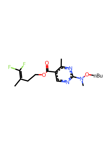 CCCCON(C)c1ncc(C(=O)OCCC(C)=C(F)F)c(C)n1